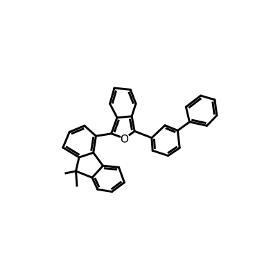 CC1(C)c2ccccc2-c2c(-c3oc(-c4cccc(-c5ccccc5)c4)c4ccccc34)cccc21